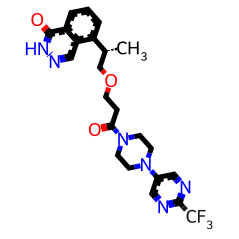 C[C@H](COCCC(=O)N1CCN(c2cnc(C(F)(F)F)nc2)CC1)c1cccc2c(=O)[nH]ncc12